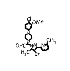 COc1cc(N2CCN(C(C=O)n3nc(-c4cccc(C)n4)c(Br)c3C)CC2)ccc1Cl